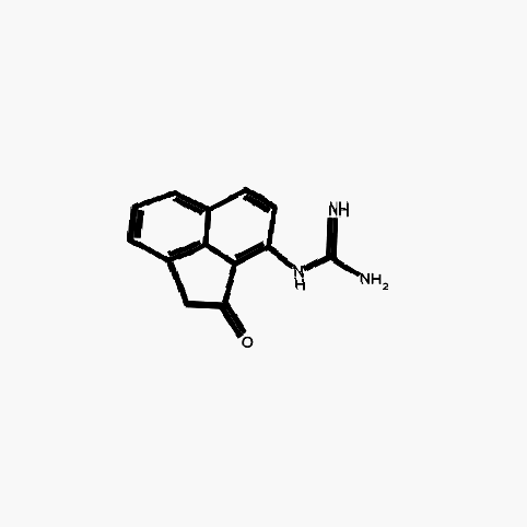 N=C(N)Nc1ccc2cccc3c2c1C(=O)C3